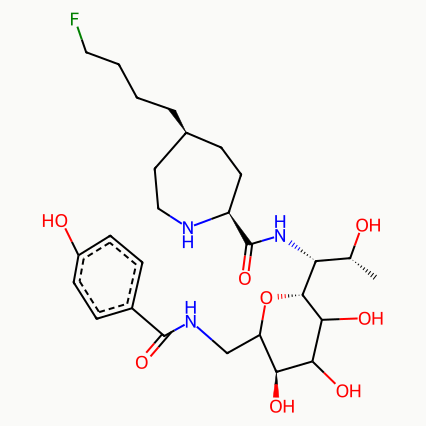 C[C@@H](O)[C@@H](NC(=O)[C@@H]1CC[C@H](CCCCF)CCN1)[C@H]1OC(CNC(=O)c2ccc(O)cc2)[C@H](O)C(O)C1O